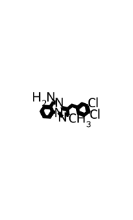 Cc1nn2c(nc(N)c3ccccc32)c1Cc1ccc(Cl)c(Cl)c1